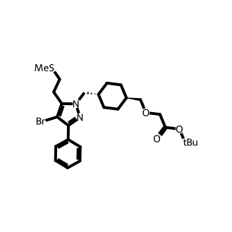 CSCCc1c(Br)c(-c2ccccc2)nn1C[C@H]1CC[C@H](COCC(=O)OC(C)(C)C)CC1